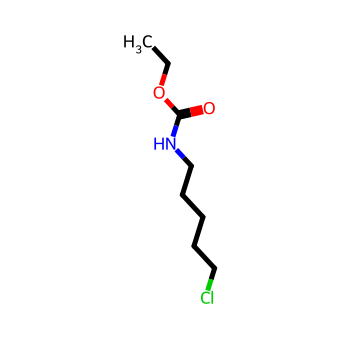 CCOC(=O)NCCCCCCl